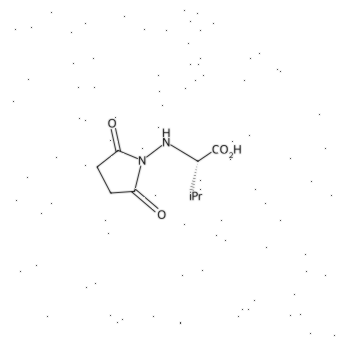 CC(C)[C@H](NN1C(=O)CCC1=O)C(=O)O